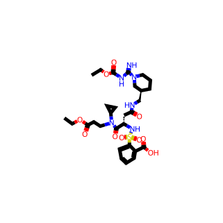 CCOC(=O)CCN(C(=O)[C@H](CC(=O)NC[C@@H]1CCCN(C(=N)NC(=O)OCC)C1)NS(=O)(=O)c1ccccc1C(=O)O)C1CC1